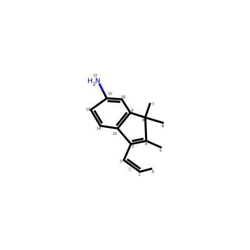 C/C=C\C1=C(C)C(C)(C)c2cc(N)ccc21